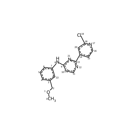 COCc1cccc(Nc2ncnc(-c3ccnc(Cl)c3)n2)c1